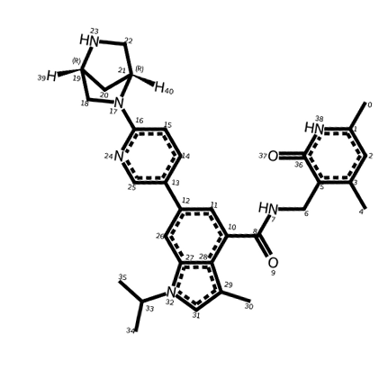 Cc1cc(C)c(CNC(=O)c2cc(-c3ccc(N4C[C@H]5C[C@@H]4CN5)nc3)cc3c2c(C)cn3C(C)C)c(=O)[nH]1